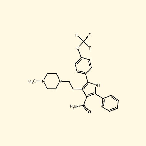 CN1CCN(CCc2c(-c3ccc(OC(F)(F)F)cc3)[nH]c(-c3ccccc3)c2C(N)=O)CC1